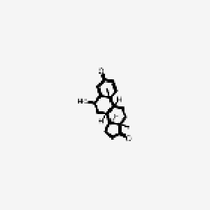 C[C@]12C=CC(=O)CC1C(O)C[C@@H]1[C@H]2CC[C@]2(C)C(=O)CC[C@@H]12